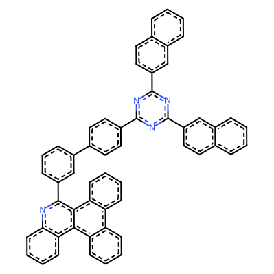 c1cc(-c2ccc(-c3nc(-c4ccc5ccccc5c4)nc(-c4ccc5ccccc5c4)n3)cc2)cc(-c2nc3ccccc3c3c4ccccc4c4ccccc4c23)c1